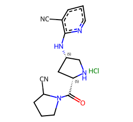 Cl.N#Cc1cccnc1N[C@@H]1CN[C@H](C(=O)N2CCCC2C#N)C1